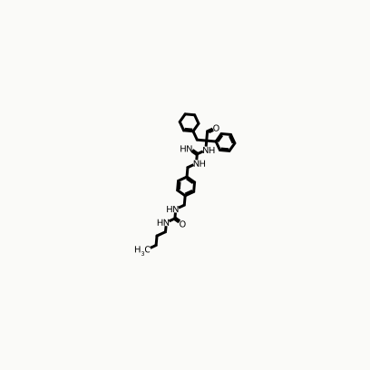 CCCCNC(=O)NCc1ccc(CNC(=N)NC(C=O)(CC2=CCCCC2)c2ccccc2)cc1